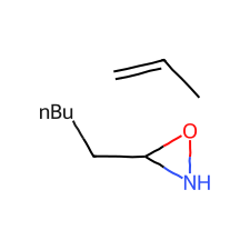 C=CC.CCCCCC1NO1